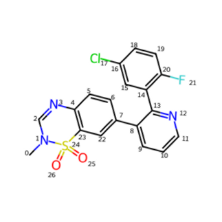 CN1C=Nc2ccc(-c3cccnc3-c3cc(Cl)ccc3F)cc2S1(=O)=O